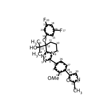 COc1cc(-c2nnc3n2CCC[C@@]3(Oc2cc(F)cc(F)c2)C(C)(C)O)ccc1-c1cnc(C)o1